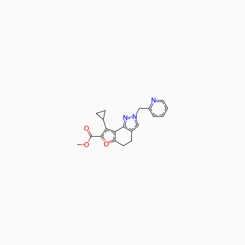 COC(=O)c1oc2c(c1C1CC1)-c1nn(Cc3ccccn3)cc1CC2